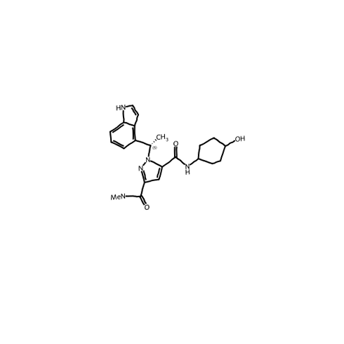 CNC(=O)c1cc(C(=O)NC2CCC(O)CC2)n([C@@H](C)c2cccc3[nH]ccc23)n1